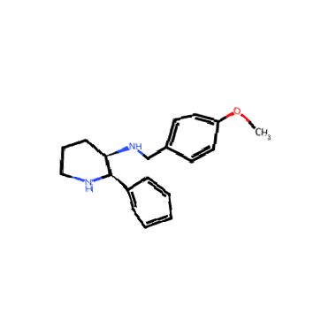 COc1ccc(CN[C@@H]2CCCN[C@@H]2c2ccccc2)cc1